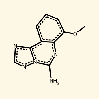 COc1cccc2c1nc(N)n1ncnc21